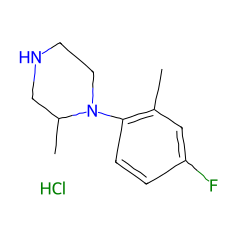 Cc1cc(F)ccc1N1CCNCC1C.Cl